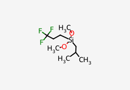 CO[Si](CCC(F)(F)F)(CC(C)C)OC